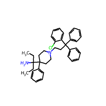 CCC(N)(CC)C1(c2ccccc2)CCN(CCC(c2ccccc2)(c2ccccc2)c2ccccc2Cl)CC1